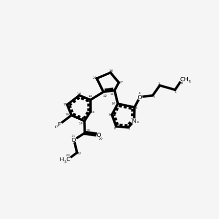 CCCCOc1ncccc1C1=C(c2ccc(F)c(C(=O)OCC)c2)CCC1